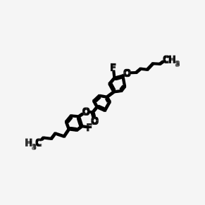 CCCCCCOc1ccc(-c2ccc(C(=O)Oc3ccc(CCCCC)cc3F)cc2)cc1F